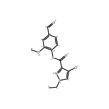 CCn1cc(Cl)c(C(=O)Oc2ccc(C=O)cc2OC)n1